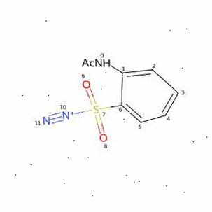 CC(=O)Nc1ccccc1S(=O)(=O)[N+]#N